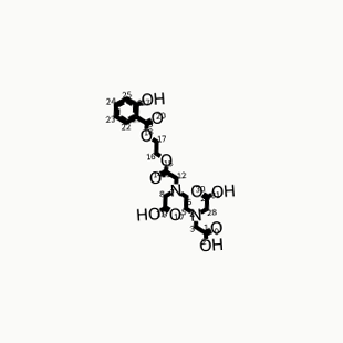 O=C(O)CN(CCN(CC(=O)O)CC(=O)OCCOC(=O)c1ccccc1O)CC(=O)O